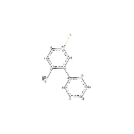 CC(C)c1ccc(F)cc1-c1ccccc1